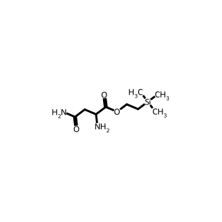 C[Si](C)(C)CCOC(=O)C(N)CC(N)=O